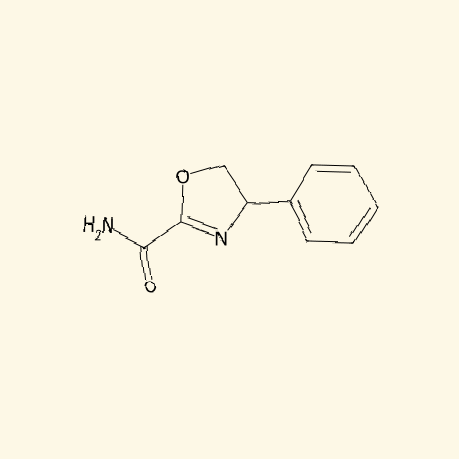 NC(=O)C1=NC(c2ccccc2)CO1